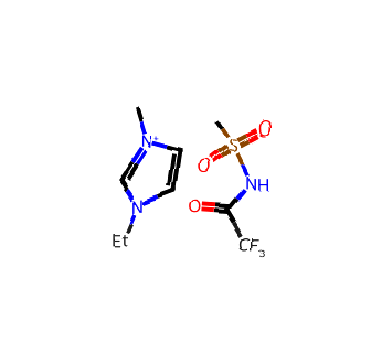 CCn1cc[n+](C)c1.CS(=O)(=O)NC(=O)C(F)(F)F